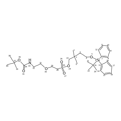 CC(C)(CCO[Si](c1ccccc1)(c1ccccc1)C(C)(C)C)COS(=O)(=O)CCOCCNC(=O)OC(C)(C)C